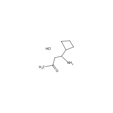 CC(=O)CC(N)C1CCC1.Cl